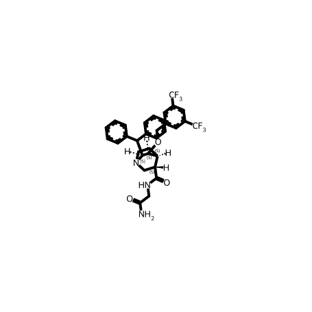 NC(=O)CNC(=O)[C@@H]1CN2CC[C@@H]1[C@H](OCc1cc(C(F)(F)F)cc(C(F)(F)F)c1)[C@@H]2C(c1ccccc1)c1ccccc1